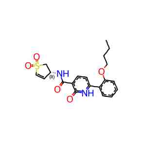 CCCCOc1ccccc1-c1ccc(C(=O)N[C@@H]2C=CS(=O)(=O)C2)c(=O)[nH]1